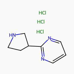 Cl.Cl.Cl.c1cnc(C2CCNC2)nc1